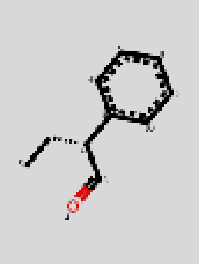 CC[C@@H](C=O)c1ccccc1